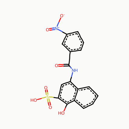 O=C(Nc1cc(S(=O)(=O)O)c(O)c2ccccc12)c1cccc([N+](=O)[O-])c1